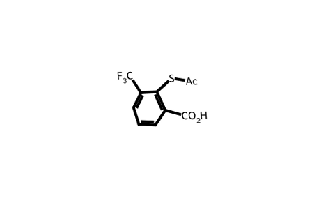 CC(=O)Sc1c(C(=O)O)cccc1C(F)(F)F